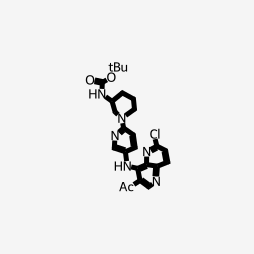 CC(=O)c1cnc2ccc(Cl)nc2c1Nc1ccc(N2CCCC(NC(=O)OC(C)(C)C)C2)nc1